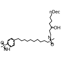 CCCCCCCCCCCCCC[C@@H](O)CCN=S(C)(=O)CCCCCCCCCCc1ccc(S(C)(=N)=O)cc1